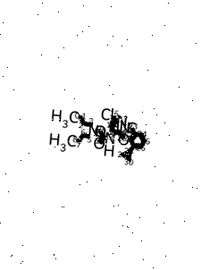 CCCCN(CCCC)OC(=O)Nc1cc(Cl)nnc1Oc1c(C)cccc1C1CC1